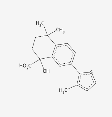 Cc1ccsc1-c1ccc2c(c1)C(O)(C(=O)O)CCC2(C)C